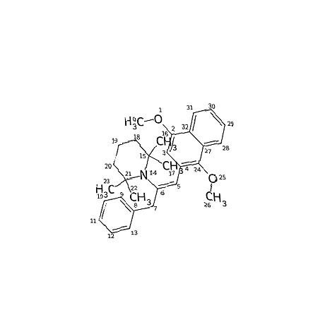 COc1cc(C=C(Cc2ccccc2)N2C(C)(C)CCCC2(C)C)c(OC)c2ccccc12